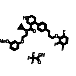 COc1cccc(OCCN(C(=O)C2=C(c3ccc(CCCOc4c(F)ccc(F)c4F)cc3)CCNC2)C2CC2)c1.O=C(O)C(F)(F)F